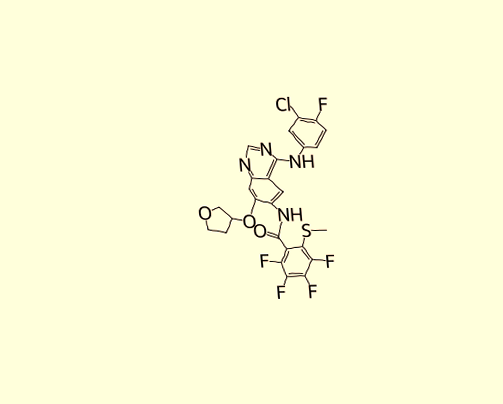 CSc1c(F)c(F)c(F)c(F)c1C(=O)Nc1cc2c(Nc3ccc(F)c(Cl)c3)ncnc2cc1OC1CCOC1